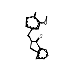 COc1cc(CC2Cc3ccccc3C2=O)ccc1C